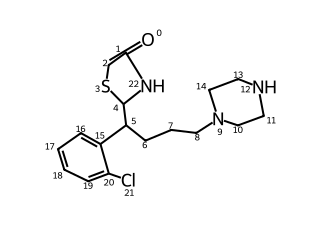 O=C1CSC(C(CCCN2CCNCC2)c2ccccc2Cl)N1